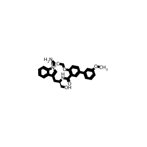 CCOc1ccc(-c2cccc(OC)c2)cc1C(=O)N[C@@H](CO)Cc1cn(CN)c2ccccc12